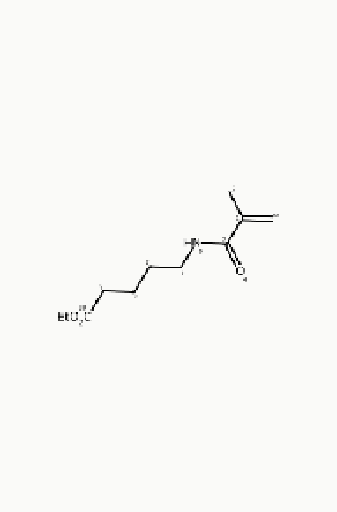 C=C(C)C(=O)NCCCCC(=O)OCC